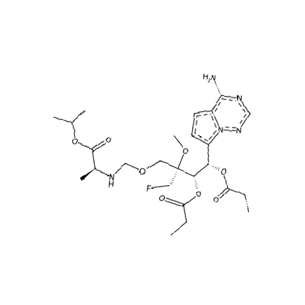 CCC(=O)O[C@@H](c1ccc2c(N)ncnn12)[C@H](OC(=O)CC)[C@@](CF)(COCN[C@@H](C)C(=O)OC(C)C)OC